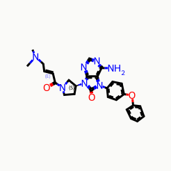 CN(C)C/C=C/C(=O)N1CC[C@H](n2c(=O)n(-c3ccc(Oc4ccccc4)cc3)c3c(N)ncnc32)C1